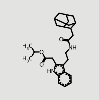 CC(C)OC(=O)Cc1[nH]c2ccccc2c1CCNC(=O)CC1C2CC3CC(C2)CC1C3